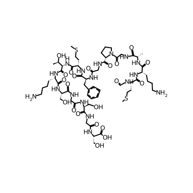 CSCC[C@H](NC=O)C(=O)N[C@@H](CCCCN)C(=O)N[C@@H](C)C(=O)NCC(=O)N1CCC[C@H]1C(=O)NCC(=O)N[C@@H](Cc1ccccc1)C(=O)N[C@@H](CCSC)C(=O)N[C@H](C(=O)N[C@@H](CCCCN)C(=O)N[C@@H](CO)C(=O)NCC(=O)N[C@@H](CO)C(=O)NCC(=O)N[C@@H](CO)C(=O)O)[C@@H](C)O